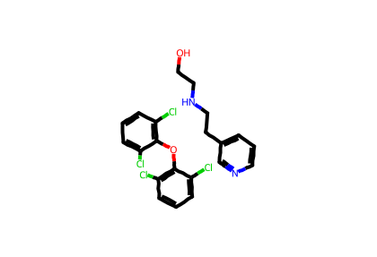 Clc1cccc(Cl)c1Oc1c(Cl)cccc1Cl.OCCNCCc1cccnc1